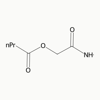 CCCC(=O)OCC([NH])=O